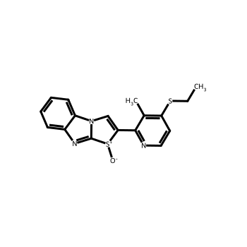 CCSc1ccnc(-c2cn3c4ccccc4nc3[s+]2[O-])c1C